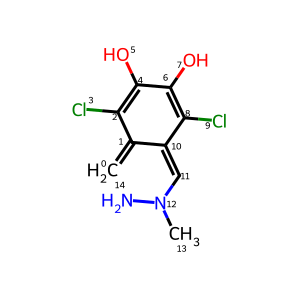 C=c1c(Cl)c(O)c(O)c(Cl)/c1=C/N(C)N